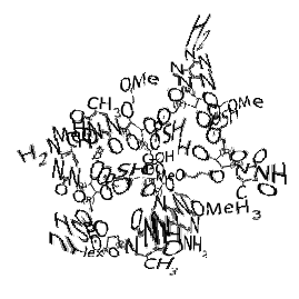 CCCCCC[C@H]1O[C@@H](n2cc(C)c(=O)[nH]c2=O)CC1OP(=O)(S)OC[C@H]1O[C@@H](n2cc(C)c(N)nc2=O)C(OCCOC)C1OP(=O)(S)OC[C@H]1O[C@@H](n2cnc3c(N)ncnc32)C(OCCOC)C1OP(=O)(O)OC[C@H]1O[C@@H](n2cc(C)c(=O)[nH]c2=O)C(OCCOC)C1OP(=O)(S)OC[C@H]1O[C@@H](n2cnc3c(N)ncnc32)C(OCCOC)C1OP(=O)(S)OC[C@H]1O[C@@H](n2cc(C)c(=O)[nH]c2=O)C(OCCOC)C1O